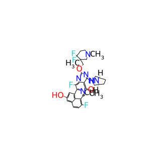 C#Cc1c(F)ccc2cc(O)cc(-c3nc(OC)c4c(N5C[C@H]6CC[C@@H](C5)N6)nc(OC[C@]5(C)CN(C)CCC5(F)F)nc4c3F)c12